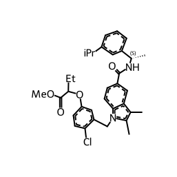 CCC(Oc1ccc(Cl)c(Cn2c(C)c(C)c3cc(C(=O)N[C@@H](C)c4cccc(C(C)C)c4)ccc32)c1)C(=O)OC